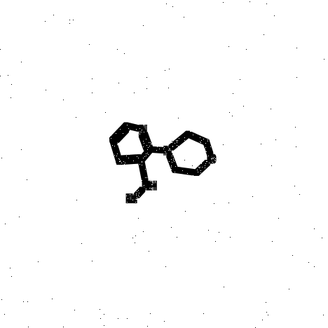 CCNc1cccnc1N1CCOCC1